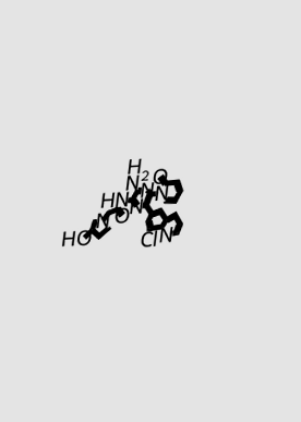 Nc1nc(-n2ccccc2=O)c(-c2cc(Cl)c3ncccc3c2)nc1NC(=O)CN1CCC(O)C1